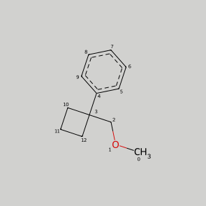 COCC1(c2ccccc2)CCC1